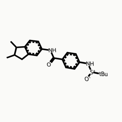 CC1Cc2cc(NC(=O)c3ccc(N[S+]([O-])C(C)(C)C)cc3)ccc2C1C